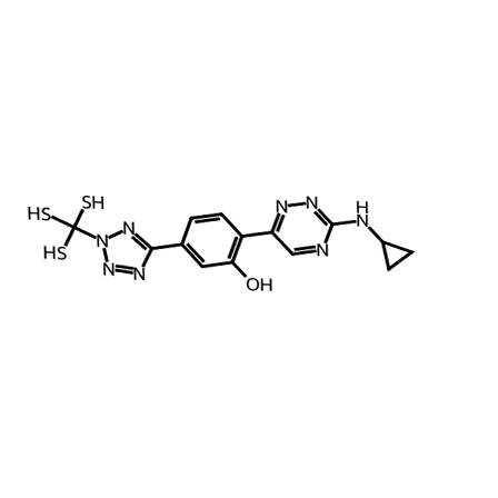 Oc1cc(-c2nnn(C(S)(S)S)n2)ccc1-c1cnc(NC2CC2)nn1